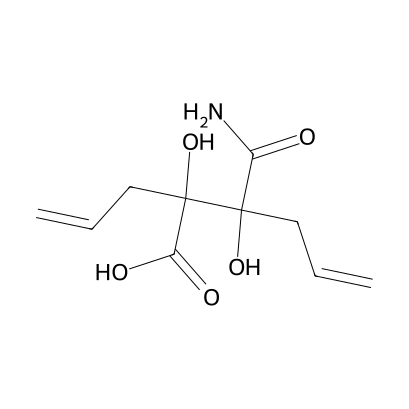 C=CCC(O)(C(N)=O)C(O)(CC=C)C(=O)O